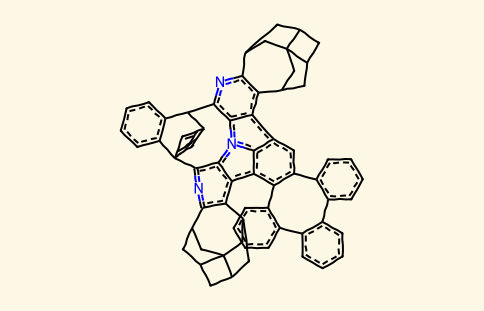 C1=CC2=CC3(C=C1)c1ccccc1C2c1nc2c(c4c5cc6c(c7c8c9c(nc3c8n(c14)c57)C1CC3CC4CC9CC34C1)-c1ccccc1-c1ccccc1-c1ccccc1-6)C1CC3CC4CC2CC43C1